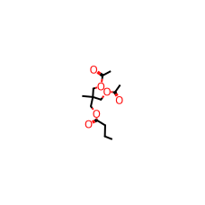 CCCC(=O)OCC(C)(COC(C)=O)COC(C)=O